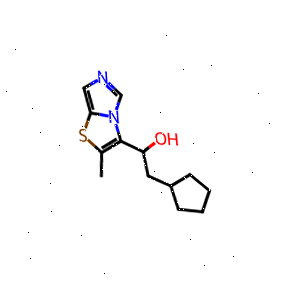 Cc1sc2cncn2c1C(O)CC1CCCC1